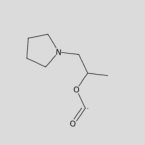 CC(CN1CCCC1)O[C]=O